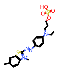 CCN(CCCOS(=O)(=O)O)c1ccc(N=Nc2sc3cc(C)ccc3[n+]2C)cc1